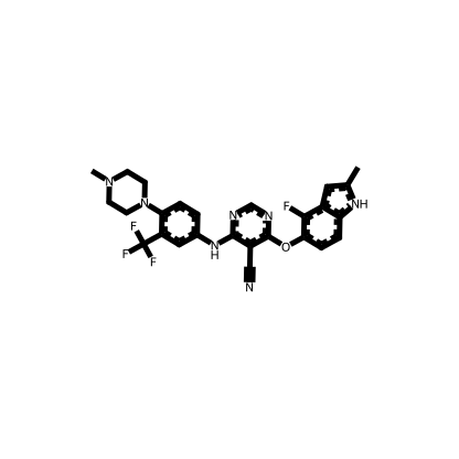 Cc1cc2c(F)c(Oc3ncnc(Nc4ccc(N5CCN(C)CC5)c(C(F)(F)F)c4)c3C#N)ccc2[nH]1